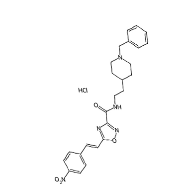 Cl.O=C(NCCC1CCN(Cc2ccccc2)CC1)c1noc(C=Cc2ccc([N+](=O)[O-])cc2)n1